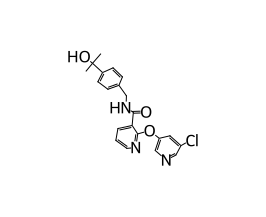 CC(C)(O)c1ccc(CNC(=O)c2cccnc2Oc2cncc(Cl)c2)cc1